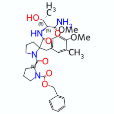 COc1cc(CC2(C(=O)N[C@H](C(N)=O)[C@@H](C)O)CCCN2C(=O)[C@@H]2CCCN2C(=O)OCc2ccccc2)cc(C)c1OC